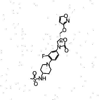 CS(=O)(=O)NC1CCN(c2ccc(N3C[C@H](COc4ccon4)OC3=O)cc2F)CC1